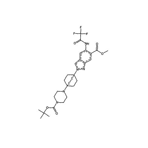 COC(=O)c1cc2nn(C34CCC(N5CCN(C(=O)OC(C)(C)C)CC5)(CC3)CC4)cc2cc1NC(=O)C(F)(F)F